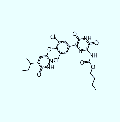 CCCCOC(=O)Nc1nn(-c2cc(Cl)c(Oc3cc(C(C)CC)c(=O)[nH]n3)c(Cl)c2)c(=O)[nH]c1=O